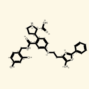 Cc1oc(-c2ccccc2)nc1CCOc1ccc(C2CCN[C@@H]2C(=O)O)c(C(=O)NCc2ccc(Cl)cc2Cl)c1